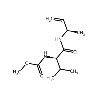 C=C[C@@H](C)NC(=O)[C@H](NC(=O)OC)C(C)C